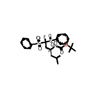 CC(C)C[C@@H](CC(F)(S(=O)(=O)c1ccccc1)S(=O)(=O)c1ccccc1)NC(=O)OC(C)(C)C